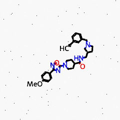 C#Cc1cccc(CN2CCC(CNC(=O)C3CCN(c4nc(-c5ccc(OC)cc5)no4)CC3)C2)c1